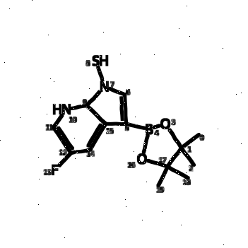 CC1(C)OB(C2=CN(S)C3NC=C(F)C=C23)OC1(C)C